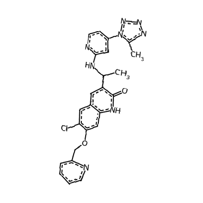 Cc1nnnn1-c1ccnc(NC(C)c2cc3cc(Cl)c(OCc4ccccn4)cc3[nH]c2=O)c1